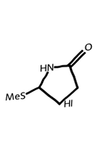 CSC1CCC(=O)N1.I